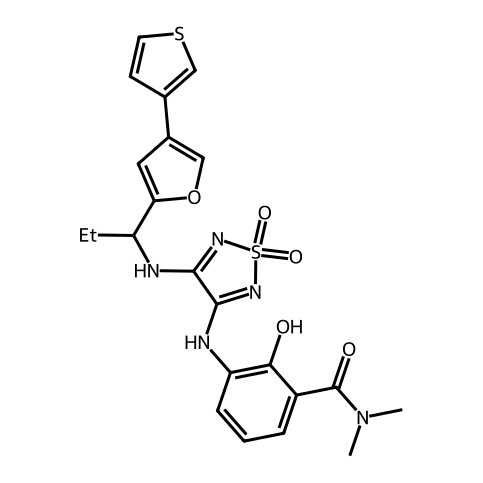 CCC(NC1=NS(=O)(=O)N=C1Nc1cccc(C(=O)N(C)C)c1O)c1cc(-c2ccsc2)co1